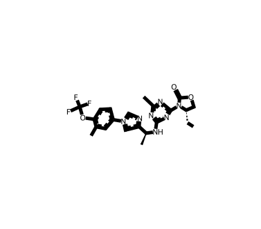 CC[C@H]1COC(=O)N1c1nc(C)nc(N[C@@H](C)c2cn(-c3ccc(OC(F)(F)F)c(C)c3)cn2)n1